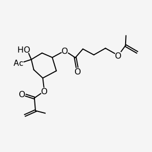 C=C(C)OCCCC(=O)OC1CC(OC(=O)C(=C)C)CC(O)(C(C)=O)C1